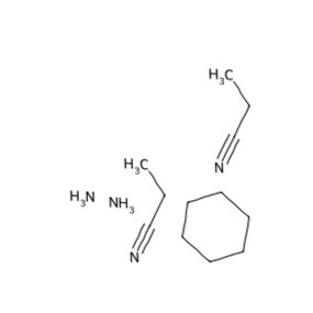 C1CCCCC1.CCC#N.CCC#N.N.N